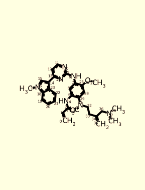 C=CC(=O)Nc1cc(Nc2nccc(-c3cn(C)c4ccccc34)n2)c(OC)cc1N(C)CCC(=C)CN(C)C